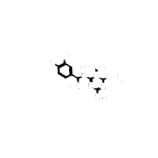 Cc1cc(C(C)NC2=NC(N)=NC(C)N2S)ccc1F